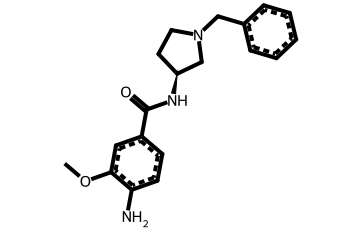 COc1cc(C(=O)N[C@H]2CCN(Cc3ccccc3)C2)ccc1N